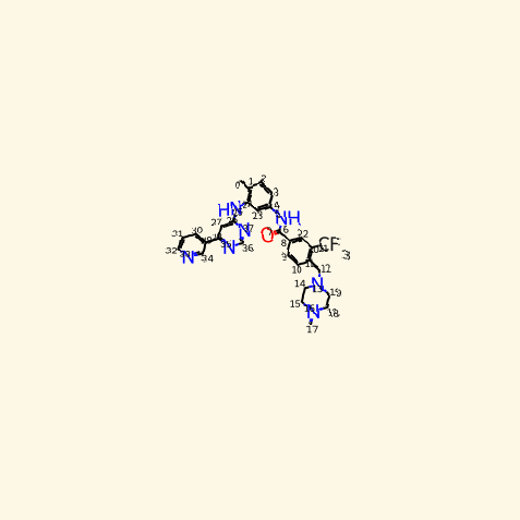 Cc1ccc(NC(=O)c2ccc(CN3CCN(C)CC3)c(C(F)(F)F)c2)cc1Nc1cc(-c2cccnc2)ncn1